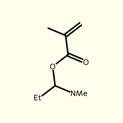 C=C(C)C(=O)OC(CC)NC